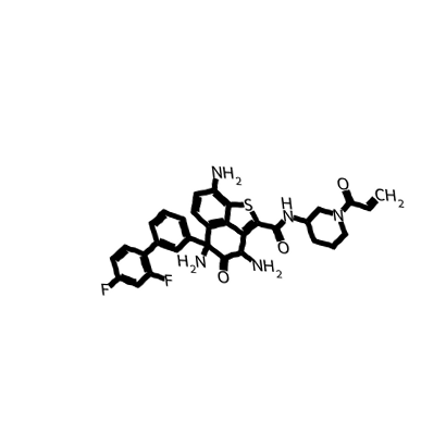 C=CC(=O)N1CCCC(NC(=O)c2sc3c(N)ccc4c3c2C(N)C(=O)C4(N)c2cccc(-c3ccc(F)cc3F)c2)C1